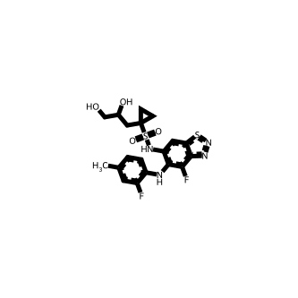 Cc1ccc(Nc2c(NS(=O)(=O)C3(CC(O)CO)CC3)cc3snnc3c2F)c(F)c1